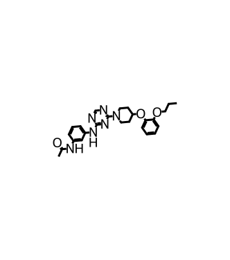 CCCOc1ccccc1OC1CCN(c2ncnc(Nc3cccc(NC(C)=O)c3)n2)CC1